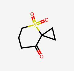 O=C1CCCS(=O)(=O)C12CC2